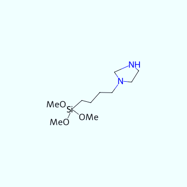 CO[Si](CCCCN1CCNC1)(OC)OC